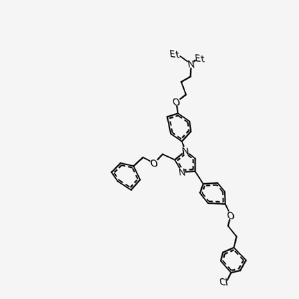 CCN(CC)CCCOc1ccc(-n2cc(-c3ccc(OCCc4ccc(Cl)cc4)cc3)nc2COCc2ccccc2)cc1